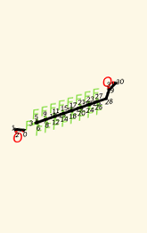 C1CO1.FC(F)(F)C(F)(F)C(F)(F)C(F)(F)C(F)(F)C(F)(F)C(F)(F)C(F)(F)CC1CO1